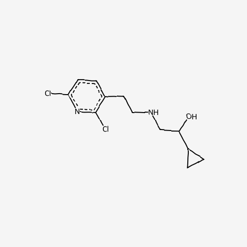 OC(CNCCc1ccc(Cl)nc1Cl)C1CC1